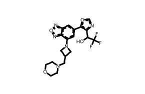 OC(c1ncoc1-c1cc(N2CC(CN3CCOCC3)C2)c2nonc2c1)C(F)(F)F